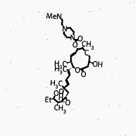 CC[C@H](O)[C@@H](C)[C@H]1O[C@@H]1CC(C)(O)/C=C/C=C(\C)[C@H]1OC(=O)C[C@H](O)CC[C@H](C)[C@@H](OC(=O)N2CCN(CCNC)CC2)/C=C/[C@@H]1C